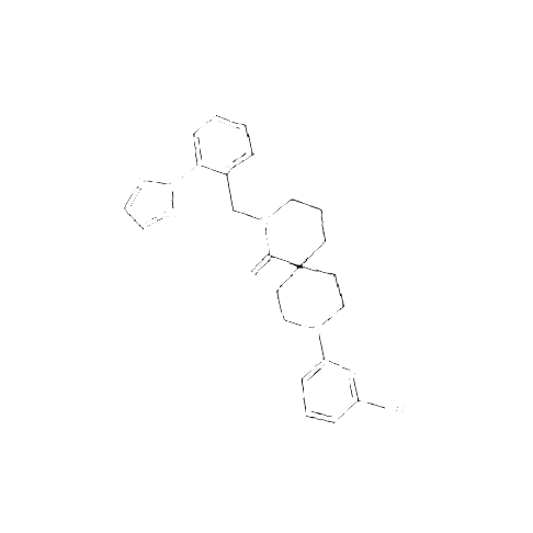 N#Cc1cccc(N2CCC3(CCCN(Cc4ccccc4-n4nccn4)C3=O)CC2)n1